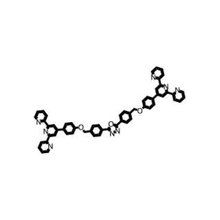 c1ccc(-c2cc(-c3ccc(OCc4ccc(-c5nnc(-c6ccc(COc7ccc(-c8cc(-c9ccccn9)nc(-c9ccccn9)c8)cc7)cc6)o5)cc4)cc3)cc(-c3ccccn3)n2)nc1